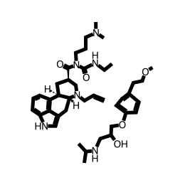 C=CCN1C[C@H](C(=O)N(CCCN(C)C)C(=O)NCC)C[C@@H]2c3cccc4[nH]cc(c34)C[C@H]21.COCCc1ccc(OCC(O)CNC(C)C)cc1